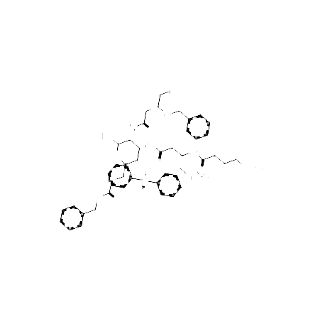 CCCCCCCCCCCCCC(=O)O[C@H](CCCCCCCCCCC)CC(=O)O[C@H]1[C@H](OP(=O)(c2ccccc2)c2ccccc2)[C@@H](COC(=O)OCc2ccccc2)OC(O)[C@@H]1NC(=O)C[C@@H](CCCCCCCCCCC)OCc1ccccc1